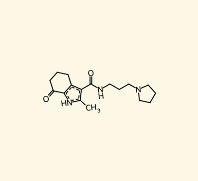 Cc1[nH]c2c(c1C(=O)NCCCN1CCCC1)CCCC2=O